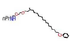 CCCNCCOCCOCCC(C)CCCCCCCCCCCCCCCOc1ccccc1